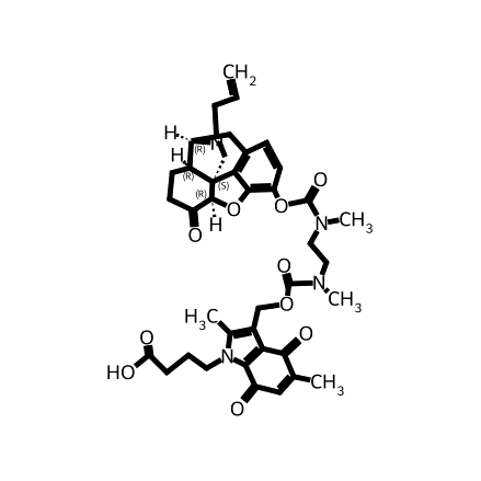 C=CCN1CC[C@]23c4c5ccc(OC(=O)N(C)CCN(C)C(=O)OCc6c7c(n(CCCC(=O)O)c6C)C(=O)C=C(C)C7=O)c4O[C@H]2C(=O)CC[C@H]3[C@H]1C5